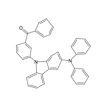 O=C(c1ccccc1)c1cccc(-n2c3ccccc3c3cc(N(c4ccccc4)c4ccccc4)ccc32)c1